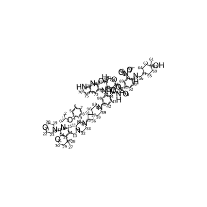 CC(C)Oc1ccccc1[C@H]1CN(Cc2cnc(N3CCOCC3)c3c2C(C)(C)CCO3)CCN1C1CC2(CCN(c3ccc(C(=O)NS(=O)(=O)c4ccc(NCC5CCC(C)(O)CC5)c([N+](=O)[O-])c4)c(N4c5cc6cc[nH]c6nc5O[C@H]5COCC[C@@H]54)c3)CC2)C1